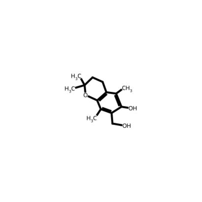 Cc1c(O)c(CO)c(C)c2c1CCC(C)(C)O2